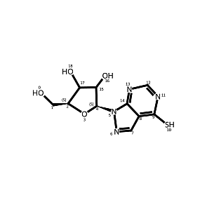 OC[C@@H]1O[C@H](n2ncc3c(S)ncnc32)C(O)C1O